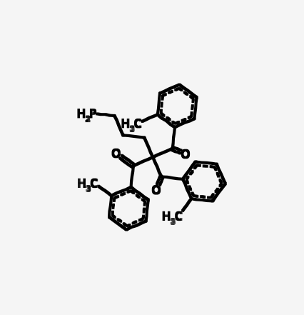 Cc1ccccc1C(=O)C(CCCP)(C(=O)c1ccccc1C)C(=O)c1ccccc1C